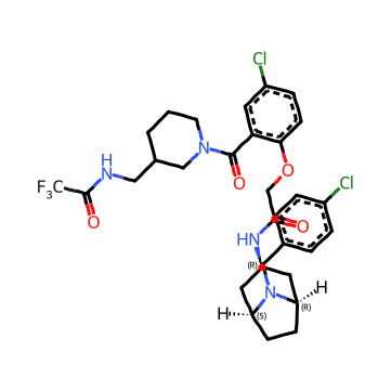 O=C(COc1ccc(Cl)cc1C(=O)N1CCCC(CNC(=O)C(F)(F)F)C1)N[C@H]1C[C@H]2CC[C@@H](C1)N2Cc1ccc(Cl)cc1